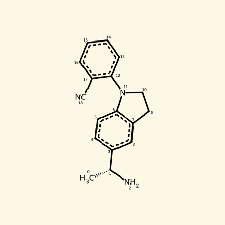 C[C@@H](N)c1ccc2c(c1)CCN2c1cc[c]cc1C#N